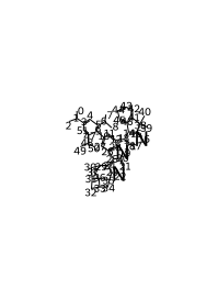 CC(C)c1cc(C(C)C)c(-c2cc3c4c5c(ncc4n4c6cnc7c(c6c(c2)c34)C2CC3CC4CC7C34C2)C(C)(C)c2ccccc2-5)c(C(C)C)c1